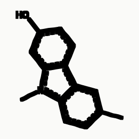 Cc1ccc2c(c1)c1ccc(O)cc1n2C